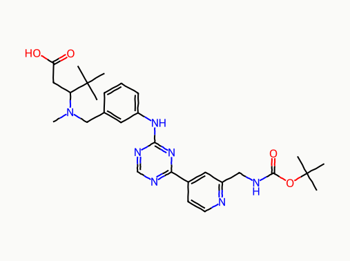 CN(Cc1cccc(Nc2ncnc(-c3ccnc(CNC(=O)OC(C)(C)C)c3)n2)c1)C(CC(=O)O)C(C)(C)C